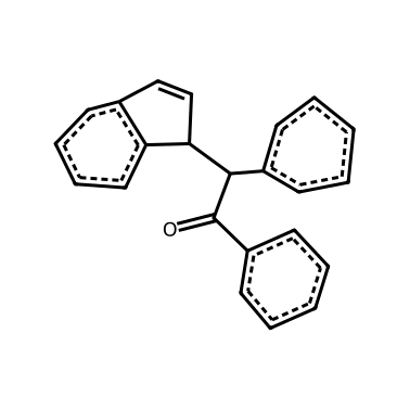 O=C(c1ccccc1)C(c1ccccc1)C1C=Cc2ccccc21